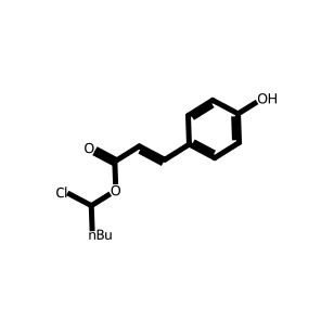 CCCCC(Cl)OC(=O)/C=C/c1ccc(O)cc1